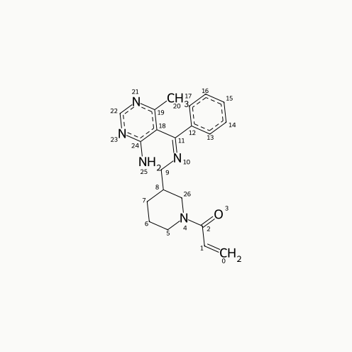 C=CC(=O)N1CCCC(C/N=C(/c2ccccc2)c2c(C)ncnc2N)C1